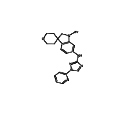 CC(C)N1CC2(CCOCC2)c2ccc(Nc3ncn(-c4ccccn4)n3)cc21